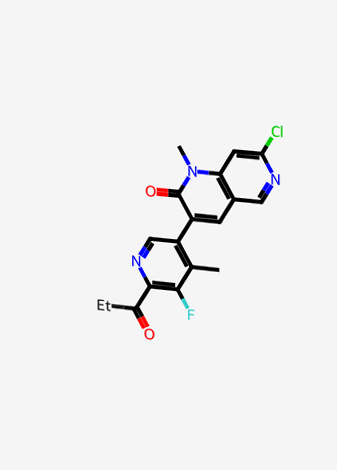 CCC(=O)c1ncc(-c2cc3cnc(Cl)cc3n(C)c2=O)c(C)c1F